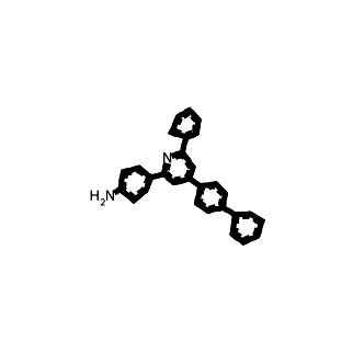 Nc1ccc(-c2cc(-c3ccc(-c4ccccc4)cc3)cc(-c3ccccc3)n2)cc1